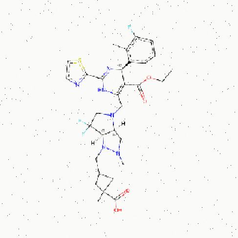 CCOC(=O)C1=C(CN2CC(F)(F)[C@H]3[C@@H]2CN(C)N3CC2CC(C)(C(=O)O)C2)NC(c2nccs2)=N[C@H]1c1cccc(F)c1C